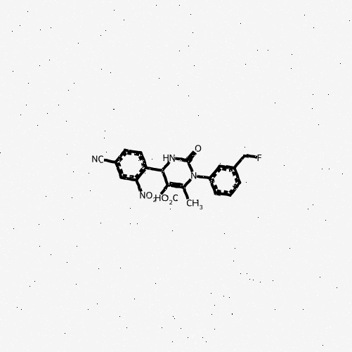 CC1=C(C(=O)O)C(c2ccc(C#N)cc2[N+](=O)[O-])NC(=O)N1c1cccc(CF)c1